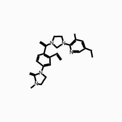 C=Cc1cc(N2CCN(C)C2=C)ccc1C(=C)N1CCN(c2ncc(CC)cc2C)C1